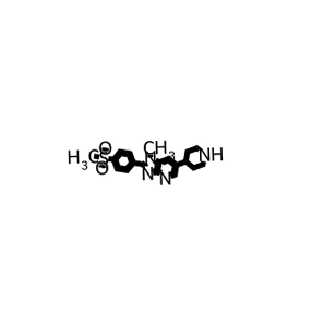 Cn1c(-c2ccc(S(C)(=O)=O)cc2)nc2ncc(C3CCNCC3)cc21